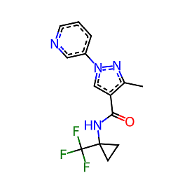 Cc1nn(-c2cccnc2)cc1C(=O)NC1(C(F)(F)F)CC1